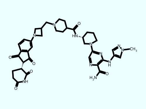 Cn1cc(Nc2nc(N3CCC[C@@H](NC(=O)C4CCN(CC5CN(c6ccc7c(c6)C(=O)C([C@H]6CCC(=O)NC6=O)C7=O)C5)CC4)C3)cnc2C(N)=O)cn1